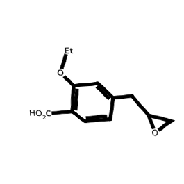 CCOc1cc(CC2CO2)ccc1C(=O)O